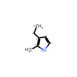 CCC1=C(C)[N]C=C1